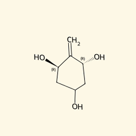 C=C1[C@H](O)CC(O)C[C@H]1O